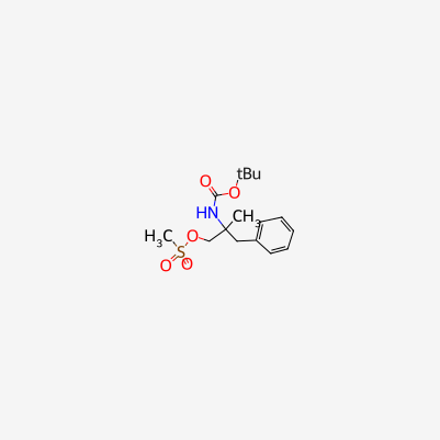 CC(COS(C)(=O)=O)(Cc1ccccc1)NC(=O)OC(C)(C)C